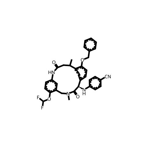 CC1CC(=O)Nc2ccc(OC(F)F)c(c2)CN(C)C(=O)[C@H](Nc2ccc(C#N)cc2)c2ccc(OCc3ccccc3)c1c2